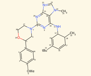 COc1ccc(C2CN(c3nc(NC4C=C(C(C)(C)C)C=CC4C)c4c(ncn4C)n3)CCO2)cc1